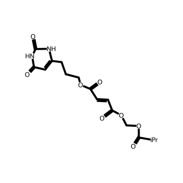 CC(C)C(=O)OCOC(=O)/C=C/C(=O)OCCCc1cc(=O)[nH]c(=O)[nH]1